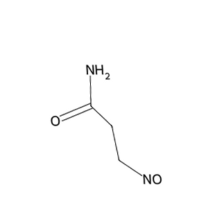 NC(=O)CCN=O